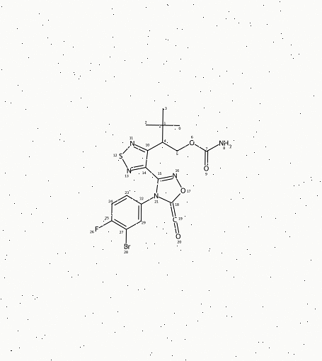 CC(C)(C)C(COC(N)=O)c1nsnc1C1=NOC(=C=O)N1c1ccc(F)c(Br)c1